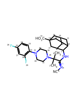 CC(C)(/C(=N\C#N)NC1C2CC3CC1CC(C(=O)O)(C3)C2)N1CCN(c2ccc(F)cc2F)CC1